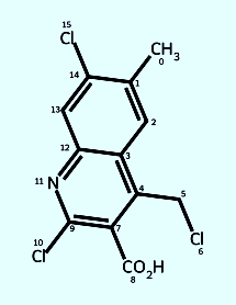 Cc1cc2c(CCl)c(C(=O)O)c(Cl)nc2cc1Cl